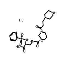 Cl.O=C(O)C(CNC(=O)[C@@H]1CCCN(C(=O)CCC2CCNCC2)C1)NS(=O)(=O)c1ccccc1